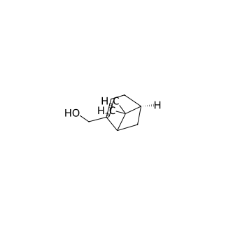 CC1(C)C2C[C@@H]1CC=C2CO